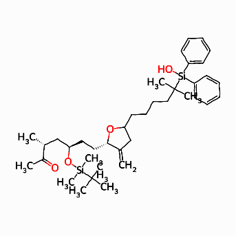 C=C1CC(CCCCC(C)(C)[Si](O)(c2ccccc2)c2ccccc2)O[C@H]1CC[C@H](C[C@@H](C)C(C)=O)O[Si](C)(C)C(C)(C)C